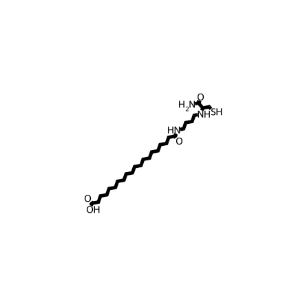 NC(=O)C(CS)NCCCCNC(=O)CCCCCCCCCCCCCCCCCCC(=O)O